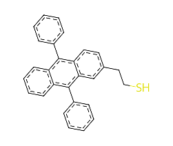 SCCc1ccc2c(-c3ccccc3)c3ccccc3c(-c3ccccc3)c2c1